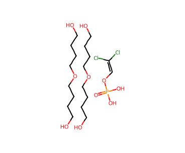 O=P(O)(O)OC=C(Cl)Cl.OCCCCOCCCCO.OCCCCOCCCCO